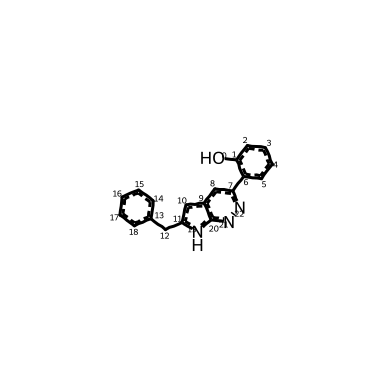 Oc1ccccc1-c1cc2cc(Cc3ccccc3)[nH]c2nn1